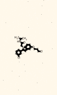 CC(C)NC(=O)Cn1c(-c2cccc(Cl)c2)cc2cc(OCCCCl)ccc21